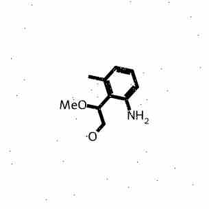 COC(C[O])c1c(C)cccc1N